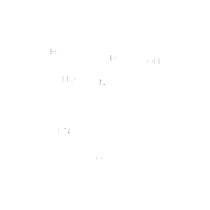 Nc1ccc(N(CC(O)CO)CC(O)CO)cc1-c1ccoc1